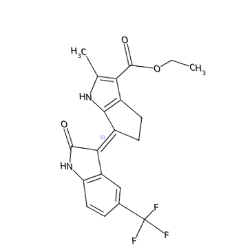 CCOC(=O)c1c(C)[nH]c2c1CC/C2=C1/C(=O)Nc2ccc(C(F)(F)F)cc21